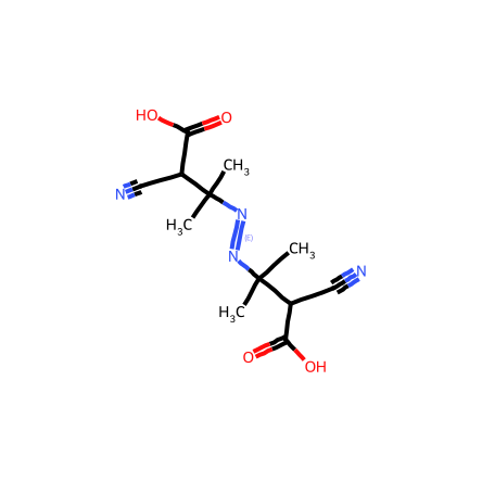 CC(C)(/N=N/C(C)(C)C(C#N)C(=O)O)C(C#N)C(=O)O